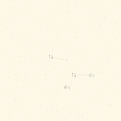 CC(C)N(C(C)C)C(C)N(C)C